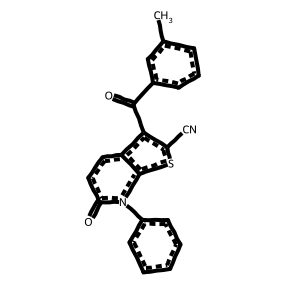 Cc1cccc(C(=O)c2c(C#N)sc3c2ccc(=O)n3-c2ccccc2)c1